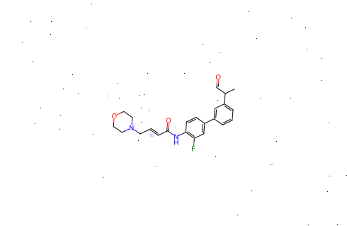 CC(C=O)c1cccc(-c2ccc(NC(=O)/C=C/CN3CCOCC3)c(F)c2)c1